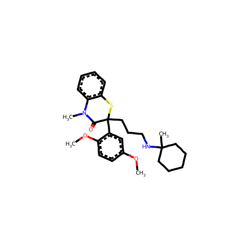 COc1ccc(OC)c(C2(CCCNC3(C)CCCCC3)Sc3ccccc3N(C)C2=O)c1